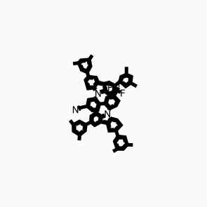 Cc1cc(C)cc(-c2ccc3c(c2)c2cc(-c4cc(C)cc(C)c4)ccc2n3-c2ccc(C(F)(F)F)cc2-c2ccc(C#N)cc2-n2c3ccc(-c4cc(C)cc(C)c4)cc3c3cc(-c4cc(C)cc(C)c4)ccc32)c1